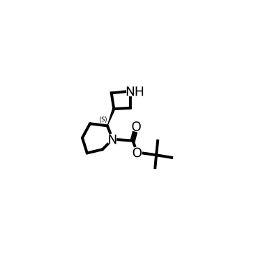 CC(C)(C)OC(=O)N1CCCC[C@H]1C1CNC1